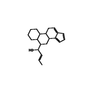 CC=CC(O)C1CC2C3=CC=CC3=CCC2C2CCCCC12